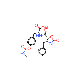 CN(C)C(=O)Oc1ccc(C[C@H](NC(=O)[C@@H]2OC(=O)N[C@H]2Cc2ccccc2)C(=O)O)cc1